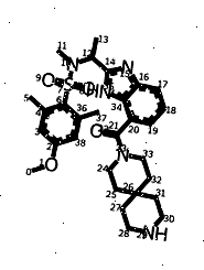 COc1cc(C)c(S(=O)(=O)N(C)C(C)c2nc3cccc(C(=O)N4CCC5(CCNCC5)CC4)c3[nH]2)c(C)c1